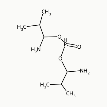 CC(C)C(N)O[PH](=O)OC(N)C(C)C